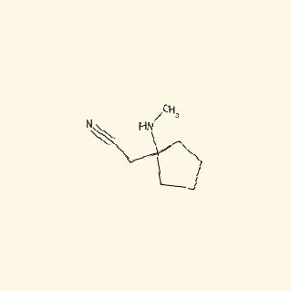 CNC1(CC#N)CCCC1